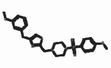 COc1ccc(S(=O)(=O)N2CCN(Cc3nc(Cc4cccc(OC)c4)cs3)CC2)cc1